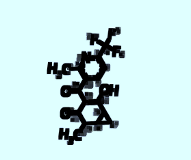 Cc1nc(C(F)(F)F)ccc1C(=O)C1=C(O)C2CC2C(C)C1=O